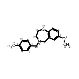 COc1ccc2c(c1)CN(Cc1ccc(C)cc1)CCS2